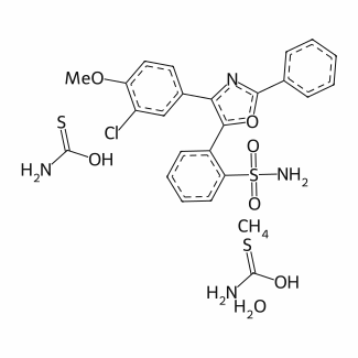 C.COc1ccc(-c2nc(-c3ccccc3)oc2-c2ccccc2S(N)(=O)=O)cc1Cl.NC(O)=S.NC(O)=S.O